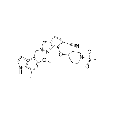 COc1cc(C)c2[nH]ccc2c1Cn1cc2ccc(C#N)c(OC3CCN(S(C)(=O)=O)CC3)c2n1